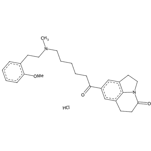 COc1ccccc1CCN(C)CCCCCC(=O)c1cc2c3c(c1)CCN3C(=O)CC2.Cl